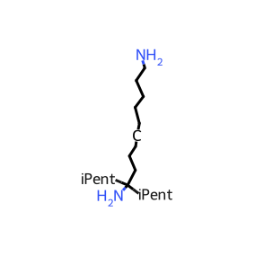 CCCC(C)C(N)(CCCCCCCCCN)C(C)CCC